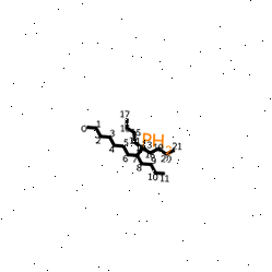 CCCCCCCC(CCCC)C(P)(CCCC)CCCC